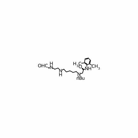 CCCCN(CCCCCNCCNCC=O)CC(=O)Nc1c(C)cccc1C